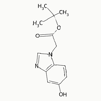 CC(C)(C)OC(=O)Cn1cnc2cc(O)ccc21